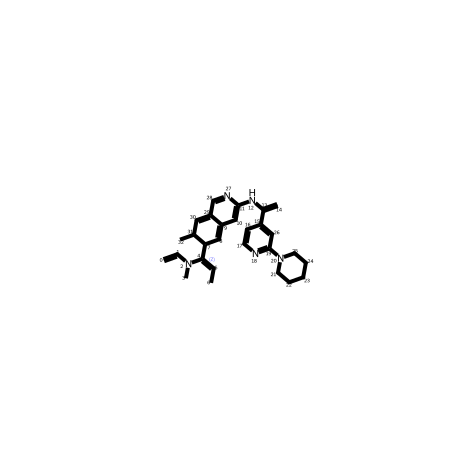 C=CN(C)/C(=C\C)C1C=c2cc(NC(=C)c3ccnc(N4CCCCC4)c3)ncc2=CC1C